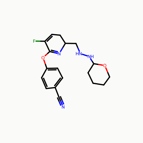 N#Cc1ccc(OC2=NC(CNNC3CCCCO3)CC=C2F)cc1